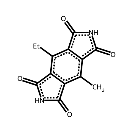 CCc1c2c(=O)[nH]c(=O)c2c(C)c2c(=O)[nH]c(=O)c12